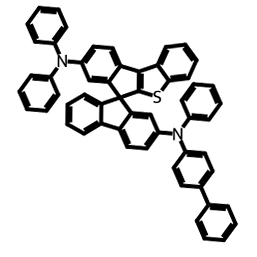 c1ccc(-c2ccc(N(c3ccccc3)c3ccc4c(c3)C3(c5ccccc5-4)c4cc(N(c5ccccc5)c5ccccc5)ccc4-c4c3sc3ccccc43)cc2)cc1